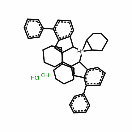 C1=C(C2CCCCC2)[CH]([Hf]2([CH]3C(C4CCCCC4)=Cc4c(-c5ccccc5)cccc43)[CH]3CCCC[CH]32)c2cccc(-c3ccccc3)c21.Cl.Cl